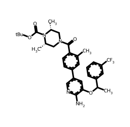 Cc1cc(-c2cnc(N)c(OC(C)c3cccc(C(F)(F)F)c3)c2)ccc1C(=O)N1C[C@@H](C)N(C(=O)OC(C)(C)C)[C@@H](C)C1